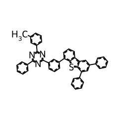 Cc1cccc(-c2nc(-c3ccccc3)nc(-c3cccc(-c4cccc5c4sc4c(-c6ccccc6)cc(-c6ccccc6)cc45)c3)n2)c1